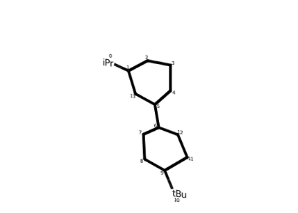 CC(C)C1CCCC(C2CCC(C(C)(C)C)CC2)C1